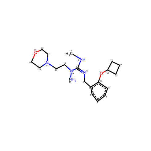 CN/C(=N/Cc1ccccc1OC1CCC1)N(N)CCN1CCOCC1